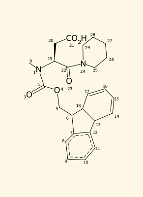 CN(C(=O)OCC1c2ccccc2C2C=CC=CC21)[C@@H](CC(=O)O)C(=O)N1CCCCC1